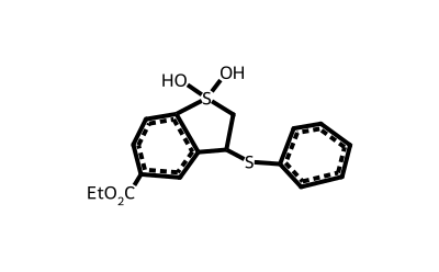 CCOC(=O)c1ccc2c(c1)C(Sc1ccccc1)CS2(O)O